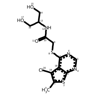 Cc1sc2ncnc(SCC(=O)NC(CO)CO)c2c1Cl